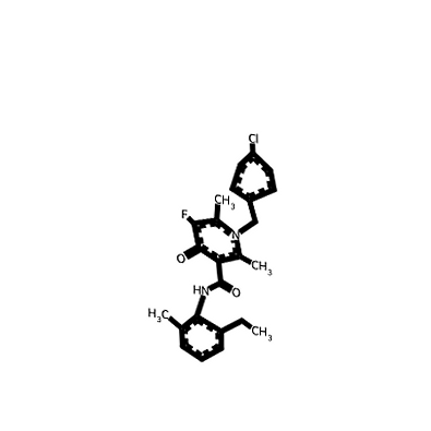 CCc1cccc(C)c1NC(=O)c1c(C)n(Cc2ccc(Cl)cc2)c(C)c(F)c1=O